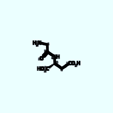 NCC(=O)N[C@H](CC(=O)O)C(=O)O